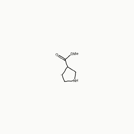 COC(=O)C1[CH]CNC1